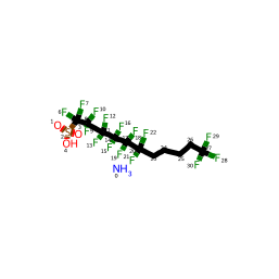 N.O=S(=O)(O)C(F)(F)C(F)(F)C(F)(F)C(F)(F)C(F)(F)C(F)(F)CCCCC(F)(F)F